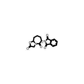 O=C1CN2C(=O)[C@@H](N3C(=O)c4ccccc4C3=O)CCCC2O1